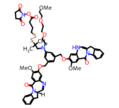 COCCOCCOCCN(CC(C)(C)SSCCCC(=O)ON1C(=O)CCC1=O)c1cc(COc2cc3c(cc2OC)C(=O)N2c4ccccc4C[C@H]2C=N3)cc(COc2cc3c(cc2OC)C(=O)N2C(=CN3)Cc3ccccc32)c1